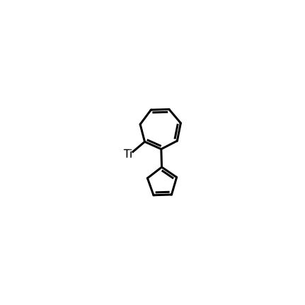 [Ti][C]1=C(C2=CC=CC2)C=CC=CC1